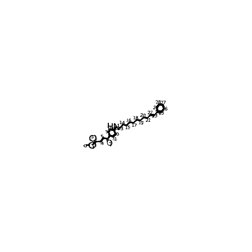 COC(=O)CCC(=O)c1ccc(NCCCCCCCCCC=Cc2ccccc2)cc1